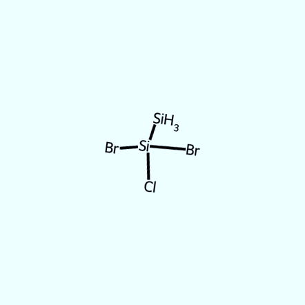 [SiH3][Si](Cl)(Br)Br